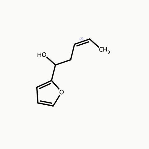 C/C=C\CC(O)c1ccco1